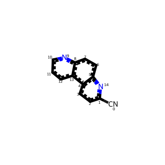 N#Cc1ccc2c(ccc3ncccc32)n1